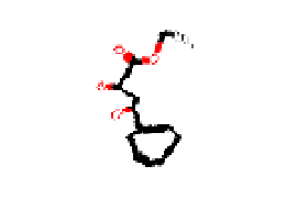 O=C(CC(=O)c1ccccc1)C(=O)OCC(Cl)(Cl)Cl